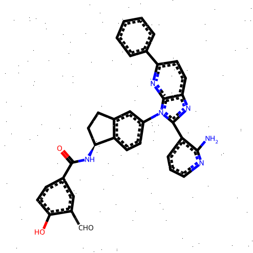 Nc1ncccc1-c1nc2ccc(-c3ccccc3)nc2n1-c1ccc2c(c1)CC[C@@H]2NC(=O)c1ccc(O)c(C=O)c1